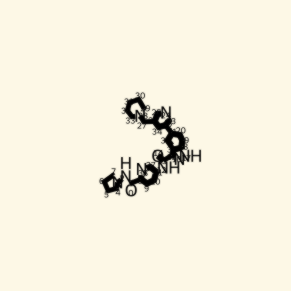 O=C(NN1CCCC1)c1ccc(NC(=O)c2n[nH]c3ccc(-c4cncc(CN5CCCCC5)c4)cc23)cn1